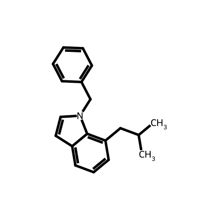 CC(C)Cc1cccc2ccn(Cc3ccccc3)c12